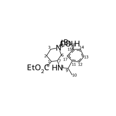 CCOC(=O)C1CCN(C(=O)O)CC1NC(C)c1cccc(C(C)(C)C)c1